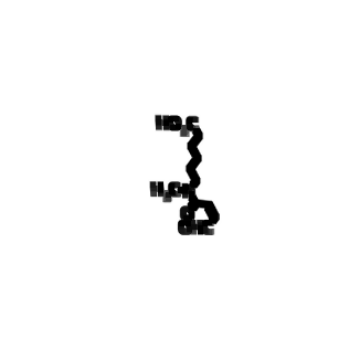 CN(CCCCCC(=O)O)C(=O)/C=C\C=O